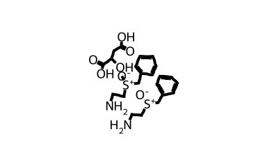 NCC[S+]([O-])Cc1ccccc1.NCC[S+]([O-])Cc1ccccc1.O=C(O)CC(O)C(=O)O